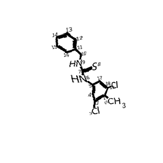 Cc1c(Cl)cc(NC(=S)NCc2ccccc2)cc1Cl